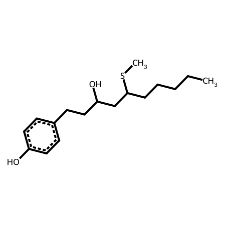 CCCCCC(CC(O)CCc1ccc(O)cc1)SC